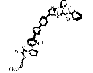 COO/C=N/[C@H](C(=O)N1CCC[C@H]1c1ncc(-c2ccc(-c3ccc(-c4cnc([C@@H]5CCCN5C(=O)[C@H](Nc5ncccn5)C(C)C)[nH]4)cc3)cc2)[nH]1)C(C)C